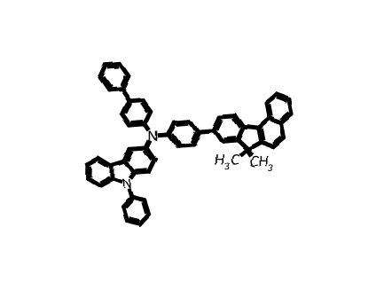 CC1(C)c2cc(-c3ccc(N(c4ccc(-c5ccccc5)cc4)c4ccc5c(c4)c4ccccc4n5-c4ccccc4)cc3)ccc2-c2c1ccc1ccccc21